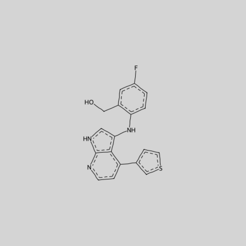 OCc1cc(F)ccc1Nc1c[nH]c2nccc(-c3ccsc3)c12